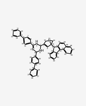 C1=C(C2NC(c3ccc(-c4ccccc4)cc3)=NC(c3ccc(-c4ccccc4)cc3)N2)CN2CC12n1c2ccccc2c2c3ccccc3ccc21